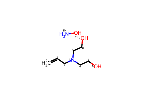 C=CCN(CCO)CCO.NO